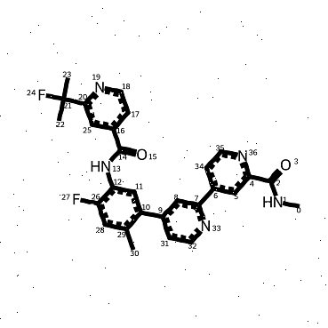 CNC(=O)c1cc(-c2cc(-c3cc(NC(=O)c4ccnc(C(C)(C)F)c4)c(F)cc3C)ccn2)ccn1